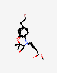 COC(=O)CCCN1c2ccc(CCBr)cc2OC(C)(C)C1C=O